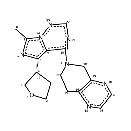 Cc1nc([C@@H]2CCOC2)c2c(N3CCc4nccnc4C3)ncnn12